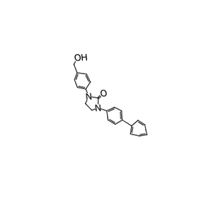 O=C1N(c2ccc(CO)cc2)CCN1c1ccc(-c2ccccc2)cc1